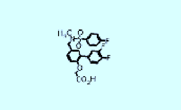 CN(Cc1ccc(OCC(=O)O)c(-c2ccc(F)c(F)c2)c1)S(=O)(=O)c1ccc(F)cc1